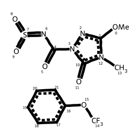 COc1nn(C(=O)N=S(=O)=O)c(=O)n1C.FC(F)(F)Oc1ccccc1